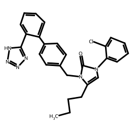 CCCCc1cn(-c2ccccc2Cl)c(=O)n1Cc1ccc(-c2ccccc2-c2nnn[nH]2)cc1